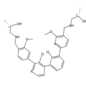 COc1cc(-c2nccc(-c3cccc(-c4ccc(CNC[C@H](C)O)c(OC)n4)c3Cl)c2Cl)ccc1CNC[C@H](C)O